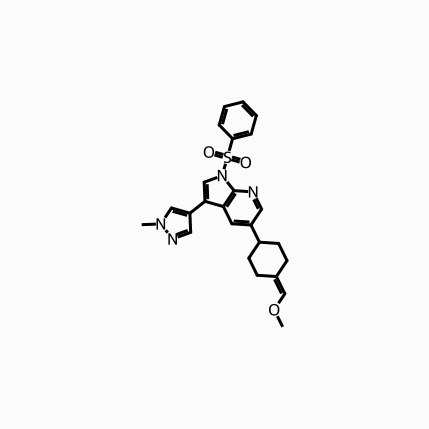 COC=C1CCC(c2cnc3c(c2)c(-c2cnn(C)c2)cn3S(=O)(=O)c2ccccc2)CC1